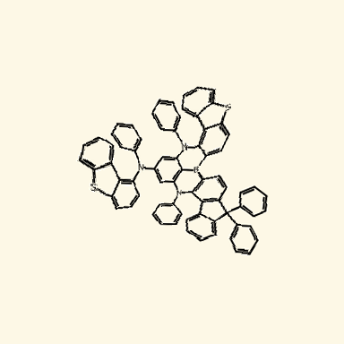 c1ccc(N2c3cc(N(c4ccccc4)c4cccc5sc6ccccc6c45)cc4c3B(c3ccc5c(c32)-c2ccccc2C5(c2ccccc2)c2ccccc2)c2ccc3sc5ccccc5c3c2N4c2ccccc2)cc1